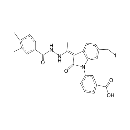 C/C(NNC(=O)c1ccc(C)c(C)c1)=C1/C(=O)N(c2cccc(C(=O)O)c2)c2cc(CI)ccc21